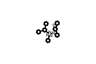 c1ccc(-c2cc(-c3ccccc3)cc(-c3nc(-c4ccccc4)nc(-n4c5ccccc5c5cc6c(cc54)sc4ccccc46)n3)c2)cc1